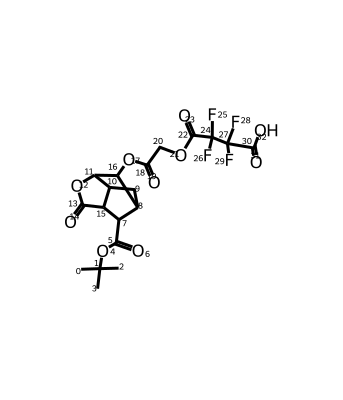 CC(C)(C)OC(=O)C1C2CC3C(OC(=O)C31)C2OC(=O)COC(=O)C(F)(F)C(F)(F)C(=O)O